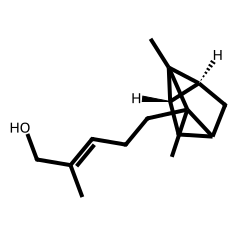 C/C(=C\CCC1(C)C2C[C@H]3[C@H](C2)C31C)CO